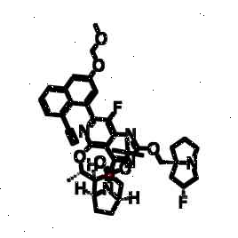 C#Cc1cccc2cc(OCOC)cc(-c3nc4c5c(nc(OC[C@@]67CCCN6C[C@H](F)C7)nc5c3F)N3C[C@H]5CC[C@@H]([C@H]3[C@H](C)O4)N5C(=O)OC(C)(C)C)c12